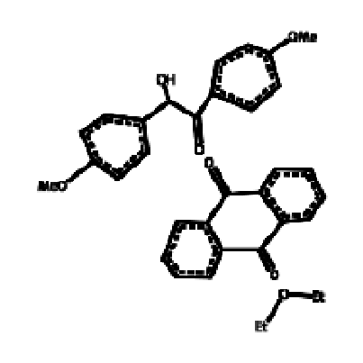 CCOCC.COc1ccc(C(=O)C(O)c2ccc(OC)cc2)cc1.O=C1c2ccccc2C(=O)c2ccccc21